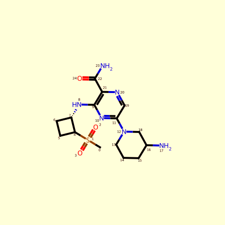 CS(=O)(=O)C1CC[C@@H]1Nc1nc(N2CCCC(N)C2)cnc1C(N)=O